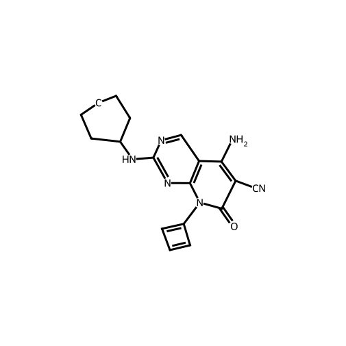 N#Cc1c(N)c2cnc(NC3CCCCC3)nc2n(C2=CC=C2)c1=O